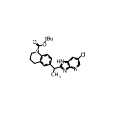 CC(c1ccc2c(c1)CCCN2C(=O)OC(C)(C)C)c1nc2ncc(Cl)cc2[nH]1